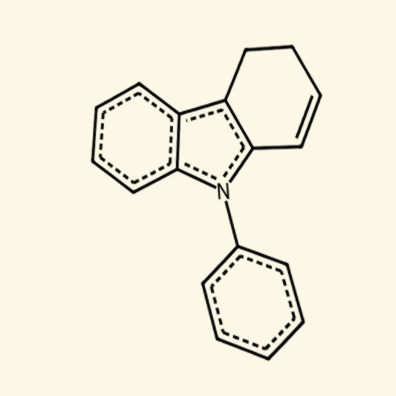 C1=Cc2c(c3ccccc3n2-c2ccccc2)CC1